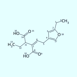 CCc1cc(CC=C(C(=O)O)C(CC)C(=O)O)co1